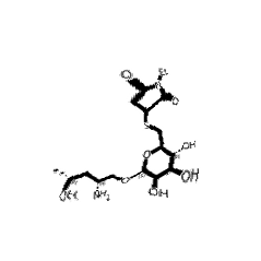 CCN1C(=O)CC(SCC2O[C@H](OC[C@H](N)C[C@@H](C)O)C(O)C(O)[C@H]2O)C1=O